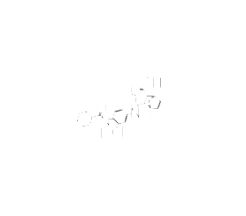 CC(=O)C1C2C=CC(C2)C1C(=O)Nc1ccc(NC(=O)C2CCCCC2)c(Cl)c1